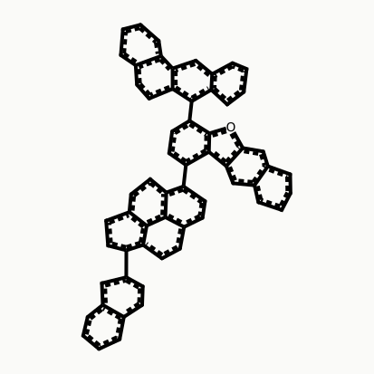 c1ccc2cc(-c3ccc4ccc5c(-c6ccc(-c7c8ccccc8cc8c7ccc7ccccc78)c7oc8cc9ccccc9cc8c67)ccc6ccc3c4c65)ccc2c1